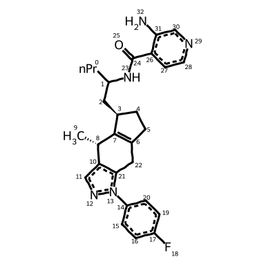 CCCC(C[C@H]1CCC2=C1[C@@H](C)c1cnn(-c3ccc(F)cc3)c1C2)NC(=O)c1ccncc1N